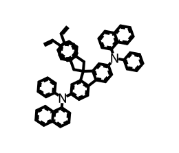 C=Cc1ccc(CC2(Cc3ccc(C=C)cc3)c3cc(N(c4ccccc4)c4cccc5ccccc45)ccc3-c3ccc(N(c4ccccc4)c4cccc5ccccc45)cc32)cc1